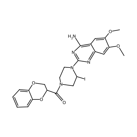 COc1cc2nc(N3CCN(C(=O)C4COc5ccccc5O4)CC3I)nc(N)c2cc1OC